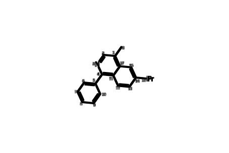 Cc1cnc(-c2ccccc2)c2ccc(C(C)C)cc12